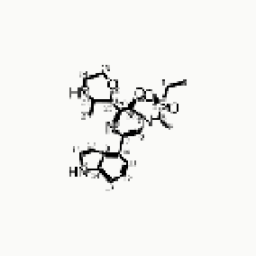 CCS(=O)(=O)C(C)n1cc(-c2cccc3[nH]ccc23)nc([C@@H]2OCCNC2C)c1=O